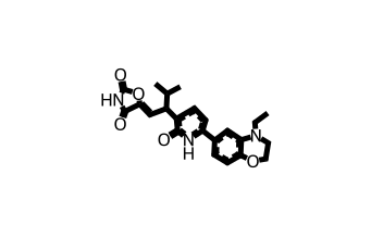 CCN1CCOc2ccc(-c3ccc(C(/C=C4\OC(=O)NC4=O)C(C)C)c(=O)[nH]3)cc21